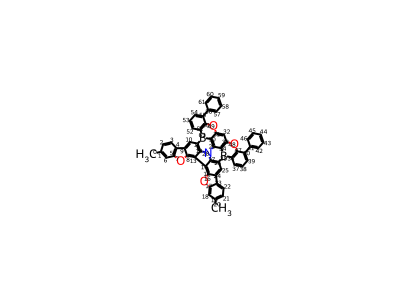 Cc1ccc2c(c1)oc1c2cc2c3c1c1c4oc5cc(C)ccc5c4cc4c1n3-c1c3c(cc5c1B4c1cccc(-c4ccccc4)c1O5)Oc1c(cccc1-c1ccccc1)B32